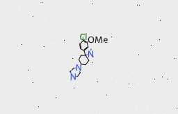 COc1cc(C2(N(C)C)CCC(N3CCN(C)CC3)CC2)ccc1Cl